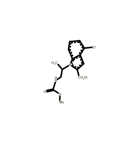 CCOC(=O)c1cc2c(Cl)cccc2n1C(C)CNC(=O)OC(C)(C)C